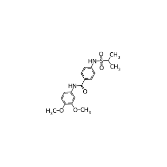 COc1ccc(NC(=O)c2ccc(NS(=O)(=O)C(C)C)cc2)cc1OC